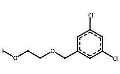 Clc1cc(Cl)cc(COCCOI)c1